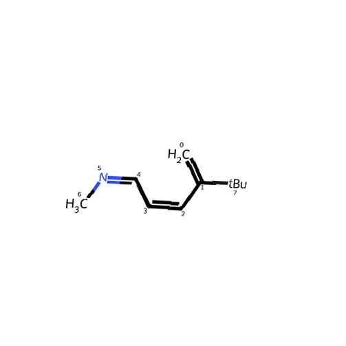 C=C(/C=C\C=N/C)C(C)(C)C